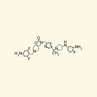 C=C(c1ccc(CN2CC3(CCN(Cc4c(F)cc(N)cc4F)CC3)OC2=O)nc1)N1CCC(Nc2ccc(F)c(N)c2)CC1